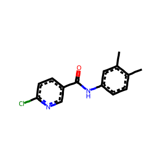 Cc1ccc(NC(=O)c2ccc(Cl)nc2)cc1C